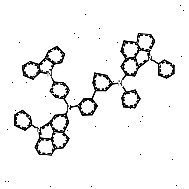 c1ccc(N(c2cccc(-c3cccc(N(c4ccc(-n5c6ccccc6c6ccccc65)cc4)c4cc5ccc6cccc7c6c5c(c4)n7-c4ccccc4)c3)c2)c2cc3ccc4cccc5c4c3c(c2)n5-c2ccccc2)cc1